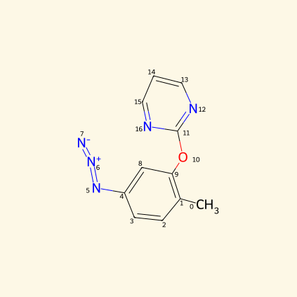 Cc1ccc(N=[N+]=[N-])cc1Oc1ncccn1